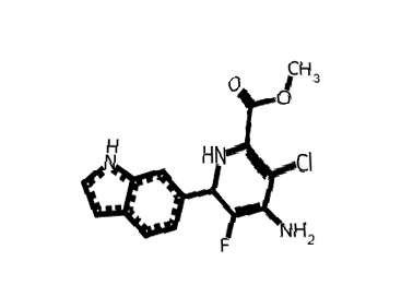 COC(=O)C1=C(Cl)C(N)=C(F)C(c2ccc3cc[nH]c3c2)N1